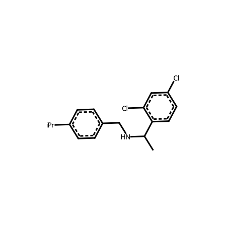 CC(C)c1ccc(CNC(C)c2ccc(Cl)cc2Cl)cc1